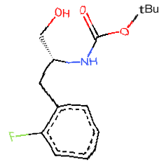 CC(C)(C)OC(=O)N[C@@H](CO)Cc1ccccc1F